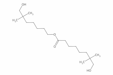 CC(C)(CO)CCCCCOC(=O)CCCCCC(C)(C)CO